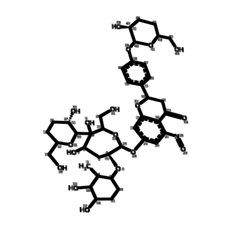 CC1C(O[C@H]2CC(O)C(O)(C3OC(CO)CC[C@@H]3O)C(CO)OC2Oc2cc(N=O)c3c(c2)OC(c2ccc(OC4OC(CO)CC[C@@H]4O)cc2)CC3=O)CCC(O)C1O